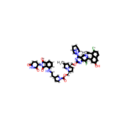 C#Cc1c(F)ccc2cc(O)cc(-c3ncc4c(N5CC6CCC(C5)N6)nc(OC[C@@]56CC[C@@H](COC(=O)N7CCC(CCNc8cccc9c8C(=O)N(C8CCC(=O)NC8=O)C9=O)C7)N5CC(=C)C6)nc4c3F)c12